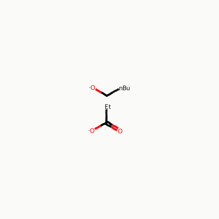 CCC([O])=O.CCCCC[O]